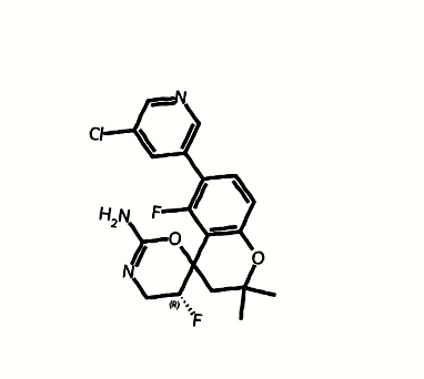 CC1(C)CC2(OC(N)=NC[C@H]2F)c2c(ccc(-c3cncc(Cl)c3)c2F)O1